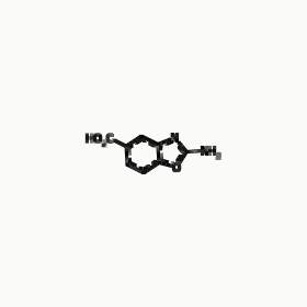 Nc1nc2cc(C(=O)O)ccc2o1